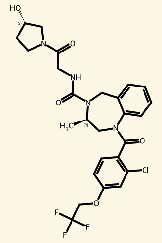 C[C@@H]1CN(C(=O)c2ccc(OCC(F)(F)F)cc2Cl)c2ccccc2CN1C(=O)NCC(=O)N1CC[C@H](O)C1